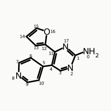 Nc1ncc(-c2ccncc2)c(-c2ccco2)n1